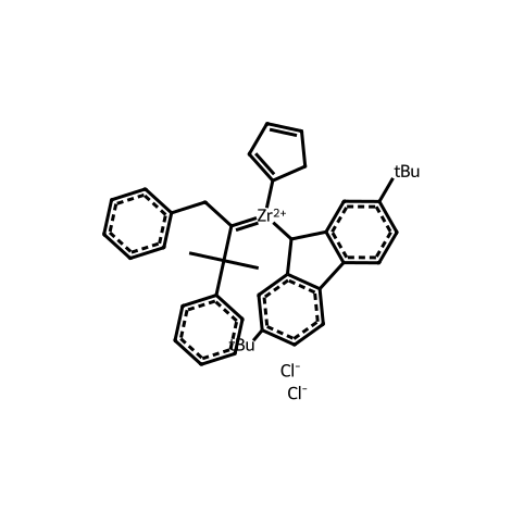 CC(C)(C)c1ccc2c(c1)[CH](/[Zr+2]([C]1=CC=CC1)=[C](/Cc1ccccc1)C(C)(C)c1ccccc1)c1cc(C(C)(C)C)ccc1-2.[Cl-].[Cl-]